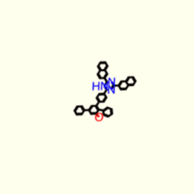 c1ccc(-c2cc(-c3ccc(C4N=C(c5ccc6ccccc6c5)N=C(c5ccc6ccccc6c5)N4)cc3)c3c(c2)oc2ccccc23)cc1